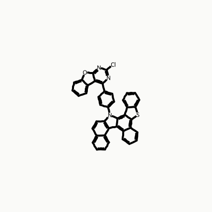 Clc1nc(-c2ccc(-n3c4ccc5ccccc5c4c4c5ccccc5c5sc6ccccc6c5c43)cc2)c2c(n1)oc1ccccc12